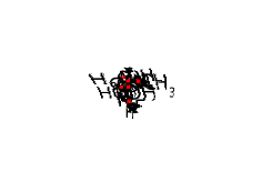 CN(CC1CC1)C(=O)[C@@H](S[C@@H]1O[C@H](CO)[C@H](O)[C@H](n2cc(-c3cc(F)c(F)c(F)c3)nn2)[C@H]1O)[C@H](O)c1ccn(C)n1